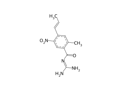 CC=Cc1cc(C)c(C(=O)N=C(N)N)cc1[N+](=O)[O-]